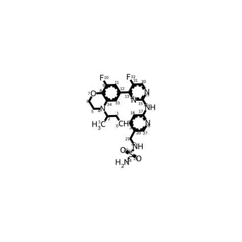 CCC(C)N1CCOc2c(F)cc(-c3nc(Nc4ccc(CNS(N)(=O)=O)cn4)ncc3F)cc21